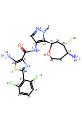 Cn1ncc(NC(=O)c2nc(-c3c(F)cccc3F)sc2N)c1[C@H]1C[C@H](F)[C@@H](N)CCO1